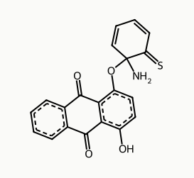 NC1(Oc2ccc(O)c3c2C(=O)c2ccccc2C3=O)C=CC=CC1=S